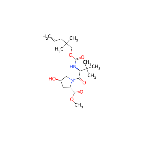 C=CCC(C)(C)COC(=O)N[C@H](C(=O)N1C[C@H](O)C[C@H]1C(=O)OC)C(C)(C)C